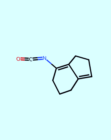 O=C=NC1=C2CCC=C2CCC1